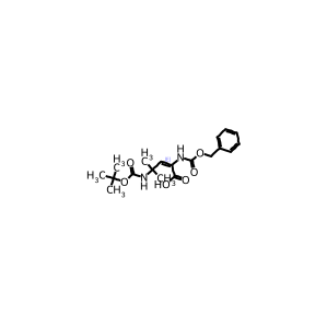 CC(C)(/C=C(/NC(=O)OCc1ccccc1)C(=O)O)NC(=O)OC(C)(C)C